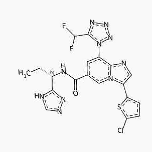 CC[C@H](NC(=O)c1cc(-n2nnnc2C(F)F)c2ncc(-c3ccc(Cl)s3)n2c1)c1nnc[nH]1